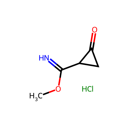 COC(=N)C1CC1=O.Cl